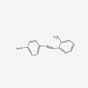 COc1ccc(C#Cc2ccccc2[N+](=O)[O-])cc1